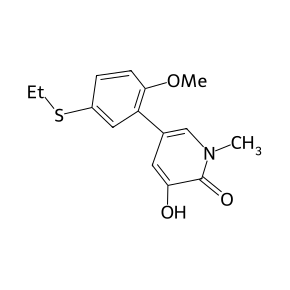 CCSc1ccc(OC)c(-c2cc(O)c(=O)n(C)c2)c1